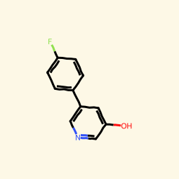 Oc1cncc(-c2ccc(F)cc2)c1